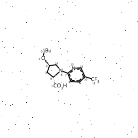 CC(C)(C)O[C@@H]1C[C@@H](C(=O)O)N(c2ccc(C(F)(F)F)cn2)C1